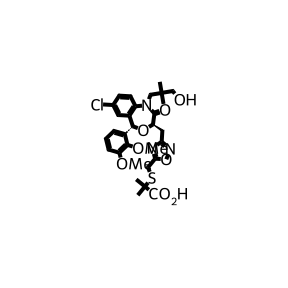 COc1cccc([C@H]2O[C@H](Cc3noc(CSC(C)(C)C(=O)O)n3)C(=O)N(CC(C)(C)CO)c3ccc(Cl)cc32)c1OC